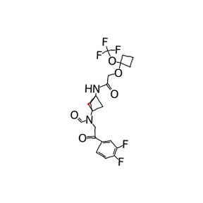 O=CN(CC(=O)c1ccc(F)c(F)c1)C12CC(NC(=O)COC3(OC(F)(F)F)CCC3)(C1)C2